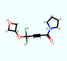 O=C(C#CC(F)(F)OC1COC1)N1CCCC1